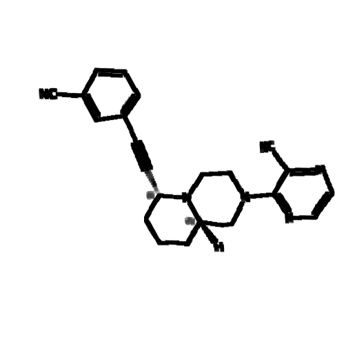 N#Cc1cccc(C#C[C@H]2CCC[C@H]3CN(c4nccnc4C#N)CCN32)c1